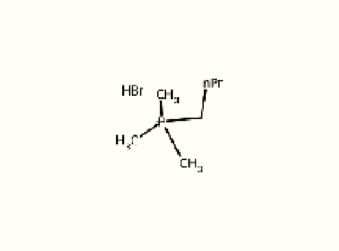 Br.CCCC[P](C)(C)C